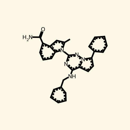 Cc1cc2c(C(N)=O)cccc2n1-c1nc(NCc2ccccc2)c2ccc(-c3ccccc3)n2n1